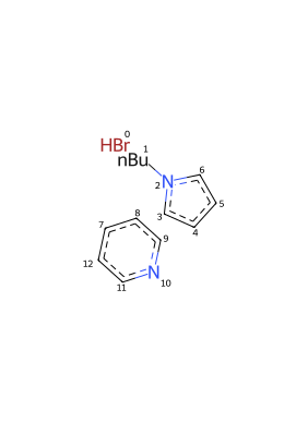 Br.CCCCn1cccc1.c1ccncc1